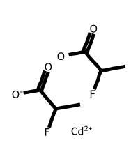 CC(F)C(=O)[O-].CC(F)C(=O)[O-].[Cd+2]